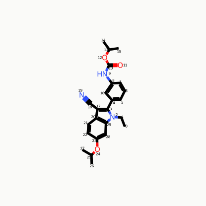 CCn1c(-c2cccc(NC(=O)OC(C)C)c2)c(C#N)c2ccc(OC(C)C)cc21